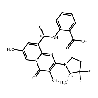 Cc1cc([C@@H](C)Nc2ccccc2C(=O)O)c2nc(N3CCC(F)(F)[C@@H]3C)c(C)c(=O)n2c1